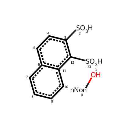 CCCCCCCCCO.O=S(=O)(O)c1ccc2ccccc2c1S(=O)(=O)O